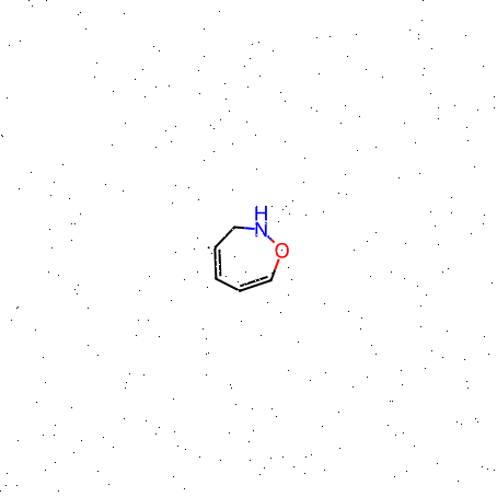 [C]1=CC=CONC1